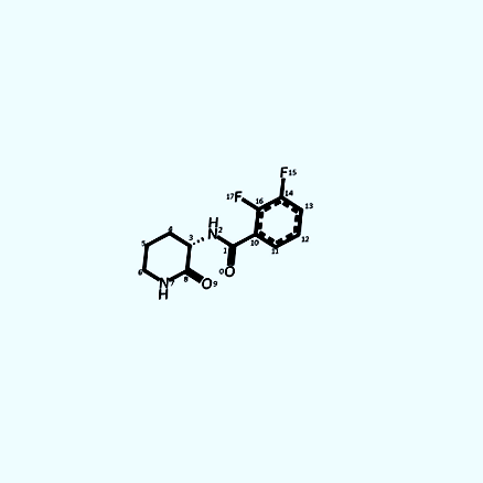 O=C(N[C@H]1CCCNC1=O)c1cccc(F)c1F